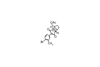 CC(=O)OCC12CCC(O1)[C@@H]1C(=O)N(c3ccc(Br)c(C)c3)C(=O)[C@@H]12